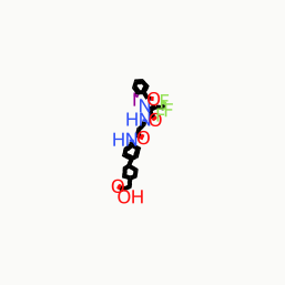 O=C(O)CC1CCC(c2ccc(NC(=O)CCNC(=O)c3nc(-c4ccccc4I)oc3C(F)(F)F)cc2)CC1